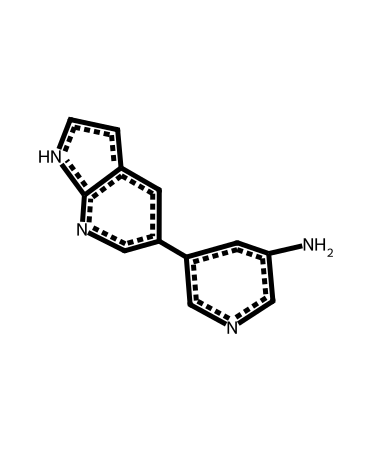 Nc1cncc(-c2cnc3[nH]ccc3c2)c1